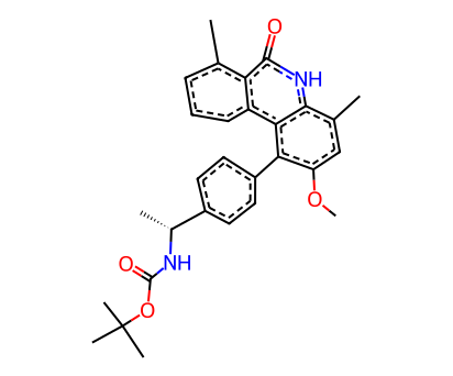 COc1cc(C)c2[nH]c(=O)c3c(C)cccc3c2c1-c1ccc([C@@H](C)NC(=O)OC(C)(C)C)cc1